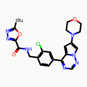 CC(C)(C)c1nnc(C(=O)NCc2ccc(-c3ncnn4cc(N5CCOCC5)cc34)cc2Cl)o1